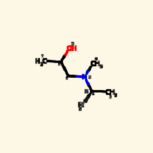 CC[C@H](C)N(C)CC(C)O